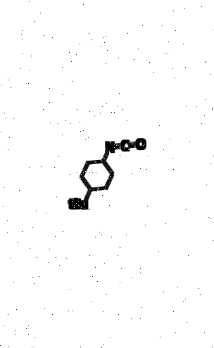 CC(C)(C)C1CCC(N=C=O)CC1